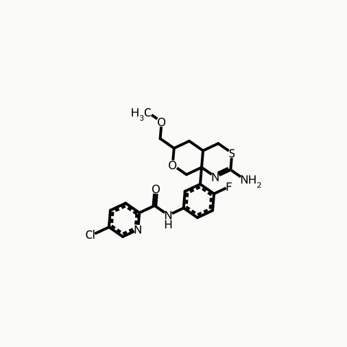 COCC1CC2CSC(N)=NC2(c2cc(NC(=O)c3ccc(Cl)cn3)ccc2F)CO1